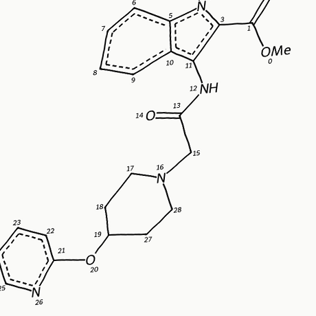 COC(=O)c1[nH]c2ccccc2c1NC(=O)CN1CCC(Oc2ccccn2)CC1